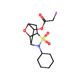 O=C(CI)OC1C2CC3C(O2)C1N(C1CCCCC1)S3(=O)=O